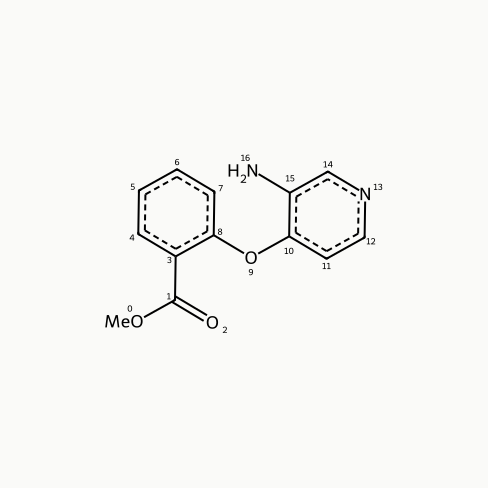 COC(=O)c1ccccc1Oc1ccncc1N